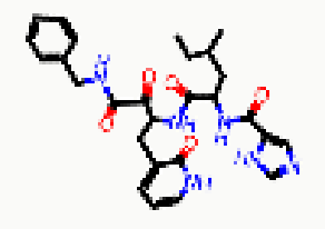 CCC(C)CC(NC(=O)c1cnc[nH]1)C(=O)NC(Cc1ccc[nH]c1=O)C(=O)C(=O)NCc1ccccc1